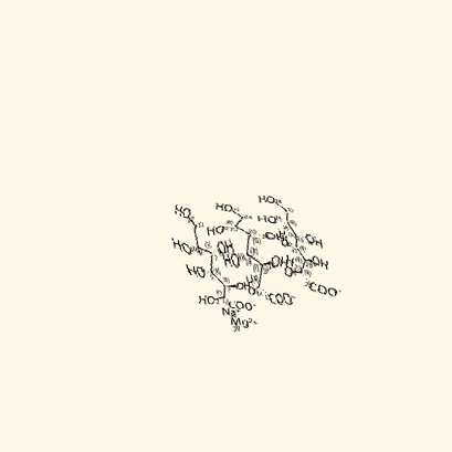 O=C([O-])[C@H](O)[C@H](O)[C@H](O)[C@@H](O)[C@H](O)CO.O=C([O-])[C@H](O)[C@H](O)[C@H](O)[C@@H](O)[C@H](O)CO.O=C([O-])[C@H](O)[C@H](O)[C@H](O)[C@@H](O)[C@H](O)CO.[Mg+2].[Na+]